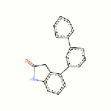 O=C1Cc2c(cccc2-c2cccc(-c3ccccc3)c2)N1